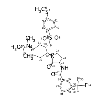 CSc1ccc(S(=O)(=O)C[C@H]2C[C@H](N(C)C(C)C)CC[C@@H]2N2CC[C@H](NC(=O)c3cccc(C(F)(F)F)c3)C2=O)cc1